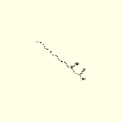 CCCCCCCCC[C@@H](O)CC(=O)O